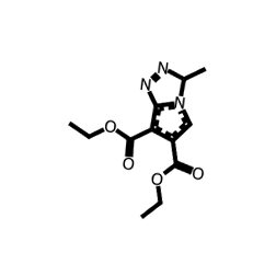 CCOC(=O)c1cn2c(c1C(=O)OCC)N=NC2C